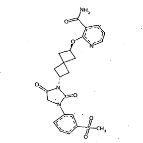 CS(=O)(=O)c1cccc(N2CC(=O)N([C@H]3CC4(C[C@H](Oc5ncccc5C(N)=O)C4)C3)C2=O)c1